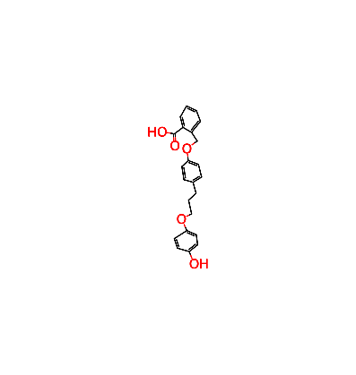 O=C(O)c1ccccc1COc1ccc(CCCOc2ccc(O)cc2)cc1